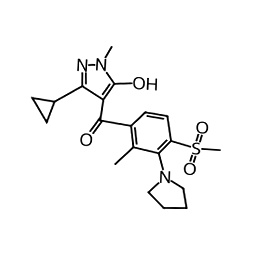 Cc1c(C(=O)c2c(C3CC3)nn(C)c2O)ccc(S(C)(=O)=O)c1N1CCCC1